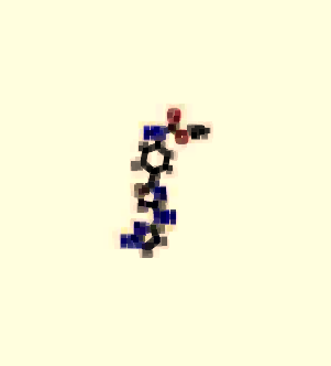 CC(C)OC(=O)NC1CCC(C2=NC(Nc3cc[nH]n3)CS2)CC1